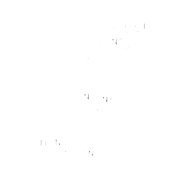 Cc1c(-c2noc(-c3ccc4c(c3)c(C#N)cn4C(C)C)n2)ccc2c1CCN(CC(=O)O)C2